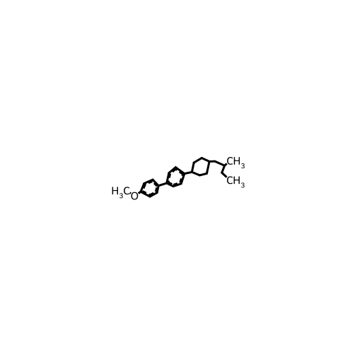 CCC(C)CC1CCC(c2ccc(-c3ccc(OC)cc3)cc2)CC1